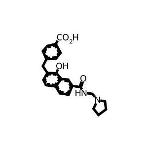 O=C(O)c1ccc(Cc2ccc3ccc(C(=O)NCN4CCCC4)cc3c2O)cc1